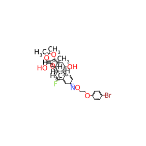 CC1(C)O[C@@H]2C[C@H]3[C@@H]4C[C@H](F)C5=C/C(=N/OCCOc6ccc(Br)cc6)C=C[C@]5(C)[C@H]4[C@@H](O)C[C@]3(C)[C@]2(C(=O)CO)O1